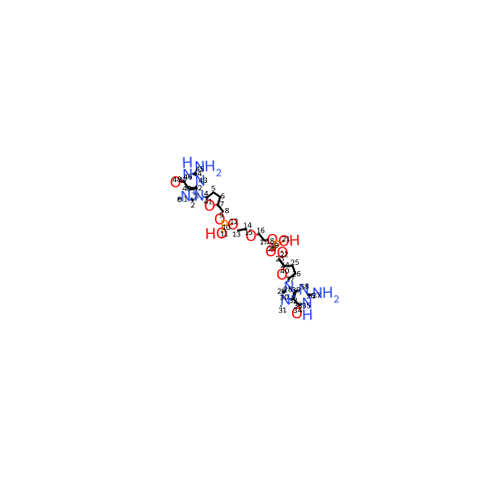 C[n+]1cn(C2CCC(COP(O)OCCOCCOP(=O)(O)OCC3CCC(n4c[n+](C)c5c(=O)[nH]c(N)nc54)O3)O2)c2nc(N)[nH]c(=O)c21